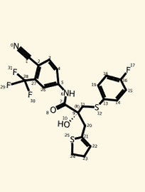 N#Cc1ccc(NC(=O)[C@@](O)(CSc2ccc(F)cc2)CC2=CCCS2)cc1C(F)(F)F